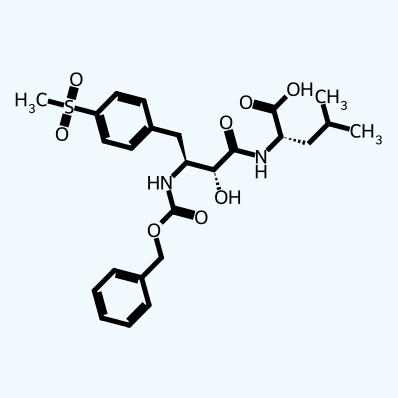 CC(C)C[C@H](NC(=O)[C@H](O)[C@H](Cc1ccc(S(C)(=O)=O)cc1)NC(=O)OCc1ccccc1)C(=O)O